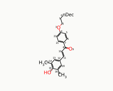 CCCCCCCCCCCCOc1ccc(C(=O)C=Cc2cc(C)c(O)c(C)c2)cc1